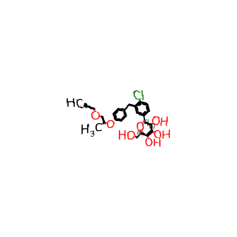 C#CCOCC(C)Oc1ccc(Cc2cc([C@@H]3O[C@H](CO)C(O)=C(O)[C@H]3O)ccc2Cl)cc1